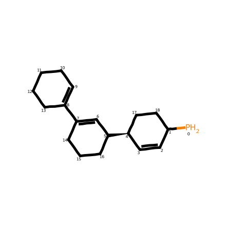 PC1C=C[C@@H](C2C=C(C3=CCCCC3)CCC2)CC1